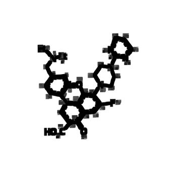 CCN(CC)Cc1ccc(-n2cc(C(=O)O)c(=O)c3cc(F)c(N4CCN(c5ncccn5)CC4)c(OC)c32)cc1